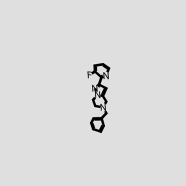 Fc1cccnc1-c1cc2n(n1)CCN(Cc1ccccc1)C2